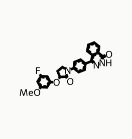 COc1cc(F)cc(OC2CCN(c3ccc(-c4n[nH]c(=O)c5ccccc45)cc3)C2=O)c1